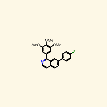 COc1cc(-c2nccc3ccc(-c4ccc(F)cc4)cc23)cc(OC)c1OC